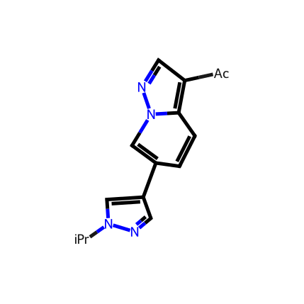 CC(=O)c1cnn2cc(-c3cnn(C(C)C)c3)ccc12